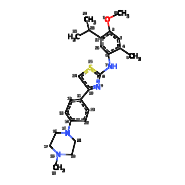 COc1cc(C)c(Nc2nc(-c3ccc(N4CCN(C)CC4)cc3)cs2)cc1C(C)C